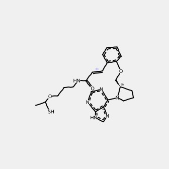 CC(S)OCCCNC(=O)/C=C/c1ccccc1OC[C@H]1CCCN1c1ncnc2[nH]cnc12